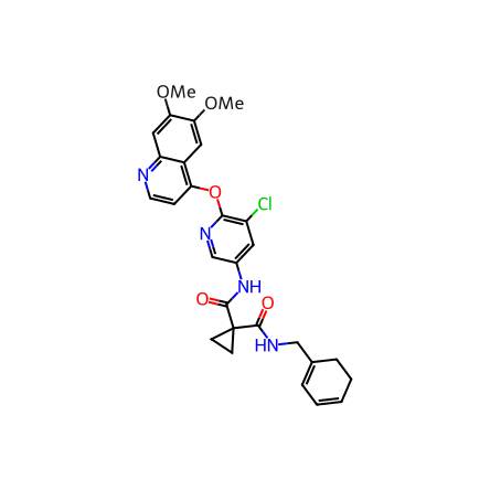 COc1cc2nccc(Oc3ncc(NC(=O)C4(C(=O)NCC5=CC=CCC5)CC4)cc3Cl)c2cc1OC